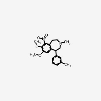 COc1cc2c(c([N+](=O)[O-])c1OC)CCN(C)CC2c1cccc(C)c1